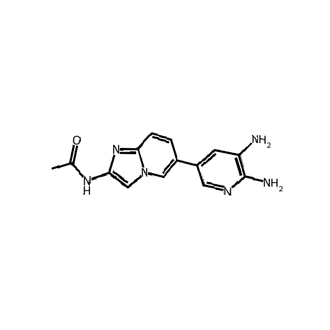 CC(=O)Nc1cn2cc(-c3cnc(N)c(N)c3)ccc2n1